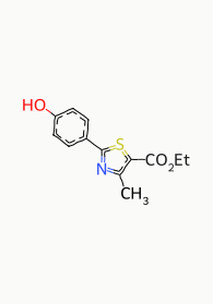 CCOC(=O)c1sc(-c2ccc(O)cc2)nc1C